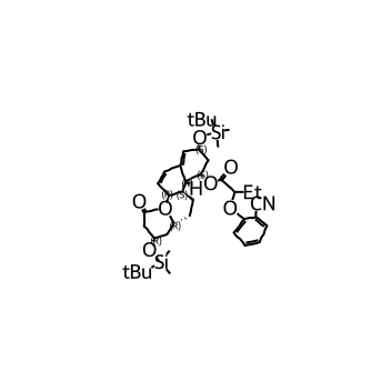 CCC(Oc1ccccc1C#N)C(=O)O[C@H]1C[C@H](O[Si](C)(C)C(C)(C)C)C=C2C=C[C@H](C)[C@H](CC[C@@H]3C[C@@H](O[Si](C)(C)C(C)(C)C)CC(=O)O3)[C@H]21